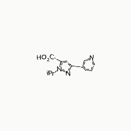 CC(C)n1nc(-c2cccnc2)cc1C(=O)O